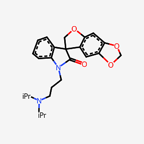 CC(C)N(CCCN1C(=O)C2(COc3cc4c(cc32)OCO4)c2ccccc21)C(C)C